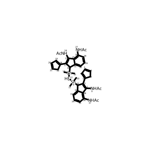 CC(=O)NC1=C(C2=CC=CC2)[CH]([Sn]([CH3])([CH3])[Hf][Sn]([CH3])([CH3])[CH]2C(C3=CC=CC3)=C(NC(C)=O)c3c(NC(C)=O)cccc32)c2cccc(NC(C)=O)c21